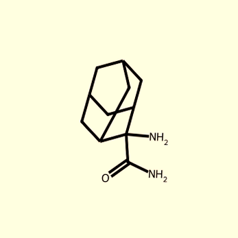 NC(=O)C1(N)C2CC3CC(C2)CC1C3